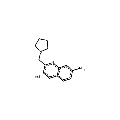 Cl.Nc1ccc2ccc(CN3CCCC3)nc2c1